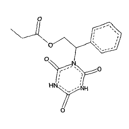 CCC(=O)OCC(c1ccccc1)n1c(=O)[nH]c(=O)[nH]c1=O